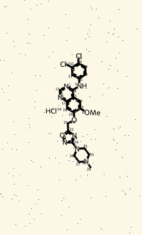 COc1cc2c(Nc3ccc(Cl)c(Cl)c3)ncnc2cc1OCc1nc(N2CCN(C)CC2)no1.Cl